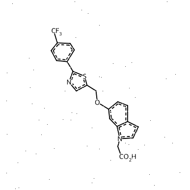 O=C(O)Cn1ccc2ccc(OCc3cnc(-c4ccc(C(F)(F)F)cc4)s3)cc21